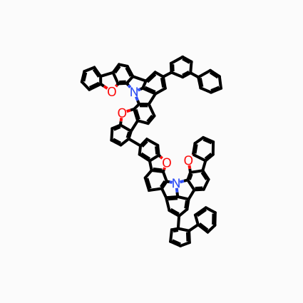 c1ccc(-c2cccc(-c3cc4c5ccc6c7ccccc7oc6c5n5c4c(c3)c3ccc4c(oc6cccc(-c7ccc8oc9c(ccc%10c%11cc(-c%12ccccc%12-c%12ccccc%12)cc%12c%13ccc%14c%15ccccc%15oc%14c%13n(c%12%11)c%109)c8c7)c64)c35)c2)cc1